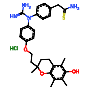 Cc1c(C)c2c(c(C)c1O)CCC(C)(CCOc1ccc(N(C(=N)N)c3ccc(CC(N)=S)cc3)cc1)O2.Cl